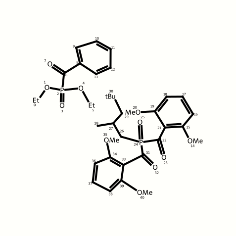 CCOP(=O)(OCC)C(=O)c1ccccc1.COc1cccc(OC)c1C(=O)P(=O)(CC(C)CC(C)(C)C)C(=O)c1c(OC)cccc1OC